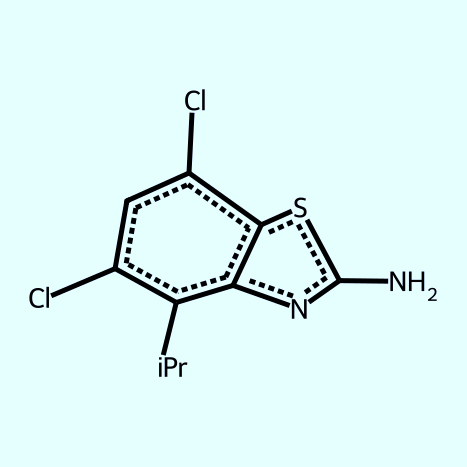 CC(C)c1c(Cl)cc(Cl)c2sc(N)nc12